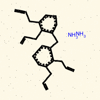 C=CCc1cccc(Cc2cccc(CC=C)c2CC=C)c1CC=C.N.N